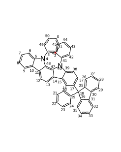 c1ccc(-n2c3ccccc3c3ccc4c5cc(C6(c7ccccc7)c7ccccc7-c7ccccc76)ccc5n(-c5ccccc5)c4c32)cc1